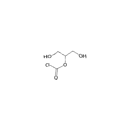 O=C(Cl)OC(CO)CO